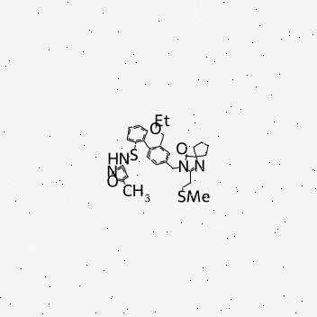 CCOCc1cc(CN2C(=O)C3(CCCC3)N=C2CCSC)ccc1-c1ccccc1SNc1cc(C)on1